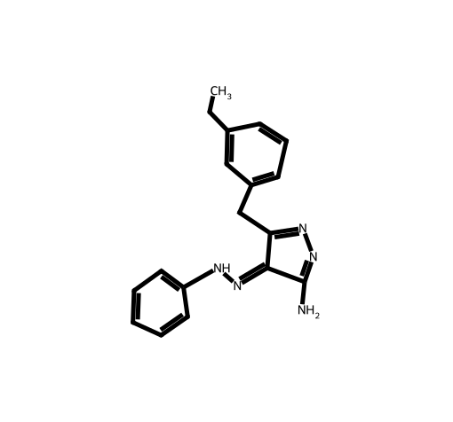 CCc1cccc(CC2=NN=C(N)/C2=N/Nc2ccccc2)c1